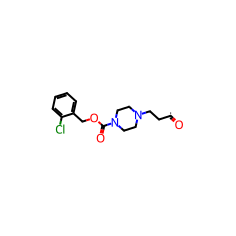 O=[C]CCN1CCN(C(=O)OCc2ccccc2Cl)CC1